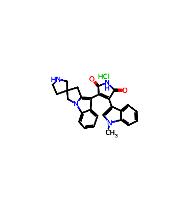 Cl.Cn1cc(C2=C(c3c4n(c5ccccc35)CC3(CCNC3)C4)C(=O)NC2=O)c2ccccc21